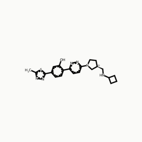 Cc1nnc(-c2ccc(-c3ccc(N4CC[C@@H](CNC5CCC5)C4)nn3)c(O)c2)s1